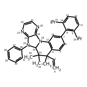 C=CC1(C)c2ccc(-c3c(C(C)C)cccc3C(C)C)cc2N2c3nccnc3N(c3ccccc3)C2C1(C)C